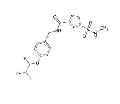 CNS(=O)(=O)c1ccc(C(=O)NCc2ccc(OC(F)C(F)F)cc2)s1